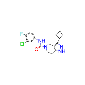 O=C(Nc1ccc(F)c(Cl)c1)N1CCc2[nH]nc(C3CCC3)c2C1